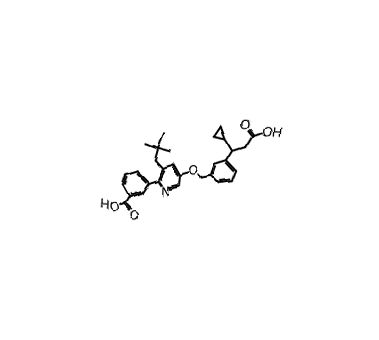 CC(C)(C)Cc1cc(OCc2cccc(C(CC(=O)O)C3CC3)c2)cnc1-c1cccc(C(=O)O)c1